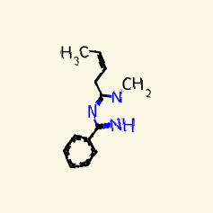 C=N/C(C/C=C\C)=N\C(=N)c1ccccc1